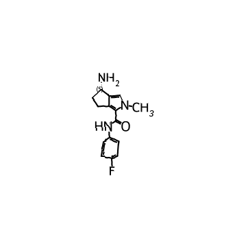 Cn1cc2c(c1C(=O)Nc1ccc(F)cc1)CC[C@@H]2N